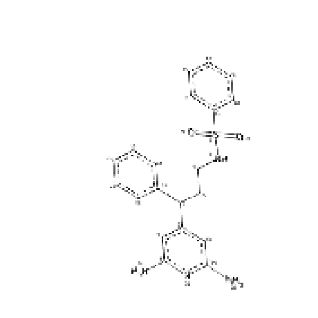 Nc1cc(C(CCNS(=O)(=O)c2ccccc2)c2ccccc2)cc(N)n1